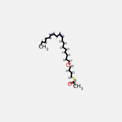 CCCCC/C=C\C/C=C\CCCCCCCCOCCCCSC(C)=O